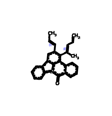 C=C/C=C(\C)c1c(/C=C/C)cc2c3ccccc3n3c(=O)c4ccccc4c1c23